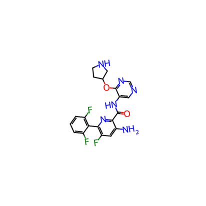 Nc1cc(F)c(-c2c(F)cccc2F)nc1C(=O)Nc1cncnc1OC1CCNC1